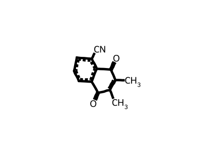 CC1=C(C)C(=O)c2c(C#N)cccc2C1=O